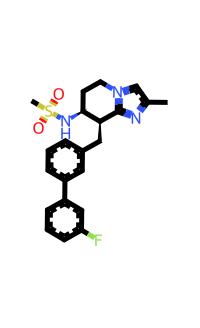 Cc1cn2c(n1)[C@@H](Cc1cccc(-c3cccc(F)c3)c1)[C@@H](NS(C)(=O)=O)CC2